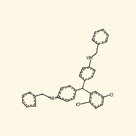 Clc1ccc(Cl)c(C(c2ccc(NCc3ccccc3)cc2)c2ccc(NCc3ccccc3)cc2)c1